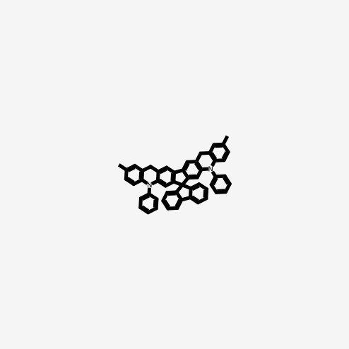 Cc1ccc2c(c1)Cc1cc3c(cc1N2c1ccccc1)C1(c2ccccc2-c2ccccc21)c1cc2c(cc1-3)Cc1cc(C)ccc1N2c1ccccc1